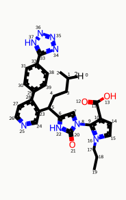 [2H]C(C)CCC(c1cn(-c2c(C(=O)O)ccn2CCC)c(=O)[nH]1)c1cnccc1-c1ccc(-c2nnn[nH]2)cc1